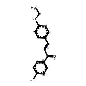 CCSc1ccc(/C=C/C(=O)c2ccc(I)cc2)cc1